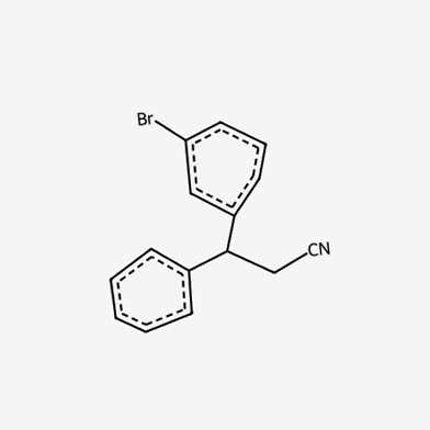 N#CCC(c1ccccc1)c1cccc(Br)c1